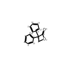 O=C1OCC1(c1ccccc1)c1ccccc1